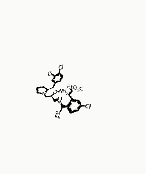 CCOC(=O)CCc1cc(Cl)ccc1[C@@H](CC)OC[C@@H](CN1CCC[C@H]1Cc1ccc(Cl)c(Cl)c1)ON